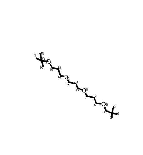 CC(C)(C)COCCCOCCCOCCCOC(C)(C)C